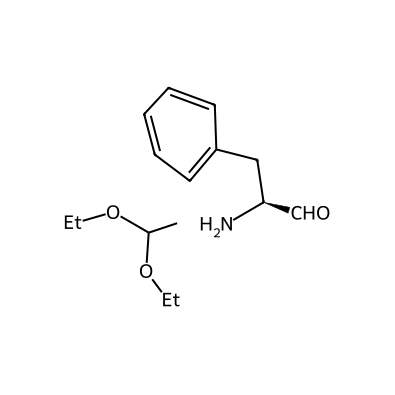 CCOC(C)OCC.N[C@H](C=O)Cc1ccccc1